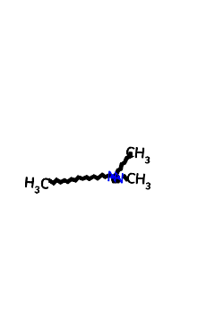 CCCCCCCCCCCCCCCCCCN1C=CN(CCC)C1CCCCCCC